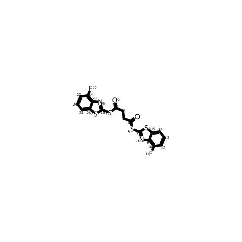 O=C(CCC(=O)Sc1nc2c(F)cccc2s1)Sc1nc2c(F)cccc2s1